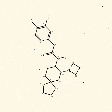 CN(C(=O)Cc1ccc(Cl)c(Cl)c1)C1CCC2(CCCS2)CC1N1CCC1